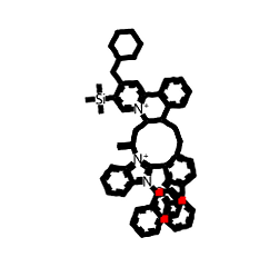 C=C1CC2C(CCc3ccc4c(oc5ccccc54)c3-c3n(-c4cccc5ccccc45)c4ccccc4[n+]31)c1ccccc1-c1cc(CC3CCCCC3)c([Si](C)(C)C)c[n+]12